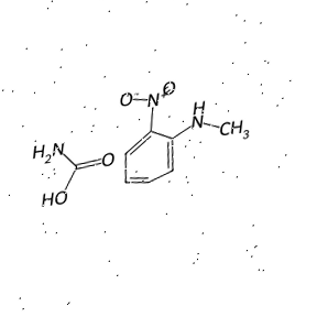 CNc1ccccc1[N+](=O)[O-].NC(=O)O